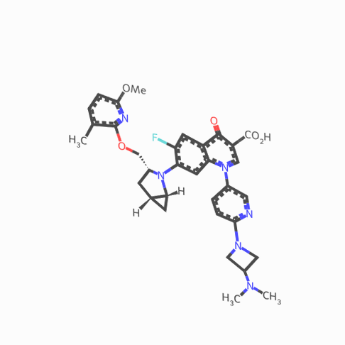 COc1ccc(C)c(OC[C@H]2C[C@H]3C[C@H]3N2c2cc3c(cc2F)c(=O)c(C(=O)O)cn3-c2ccc(N3CC(N(C)C)C3)nc2)n1